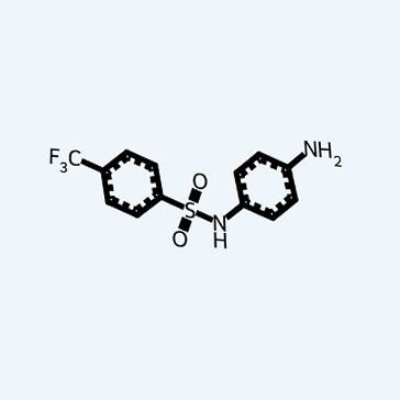 Nc1ccc(NS(=O)(=O)c2ccc(C(F)(F)F)cc2)cc1